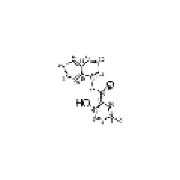 Cc1ccc(O)c(C(=O)Cc2cccc3ccccc23)c1